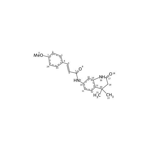 COc1ccc(C=CC(=O)Nc2ccc3c(c2)NC(=O)CC3(C)C)cc1